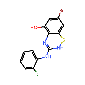 Oc1cc(Br)cc2c1N=C(Nc1ccccc1Cl)NS2